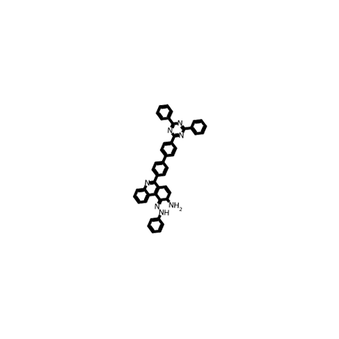 NC1C=Cc2c(-c3ccc(-c4ccc(-c5nc(-c6ccccc6)nc(-c6ccccc6)n5)cc4)cc3)nc3ccccc3c2/C1=N/Nc1ccccc1